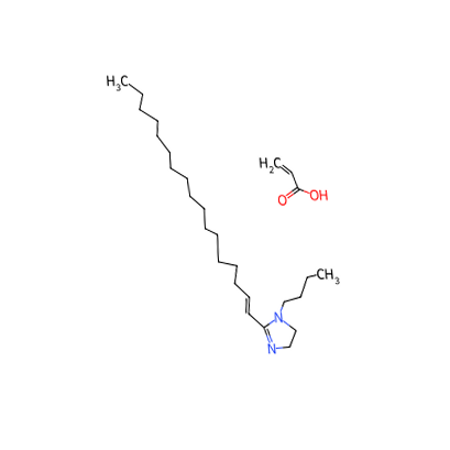 C=CC(=O)O.CCCCCCCCCCCCCCCC=CC1=NCCN1CCCC